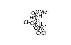 COC(=O)NNC(=O)c1cc(Cl)cc(C)c1NC(=O)c1cc(C)nn1-c1ncccc1Cl